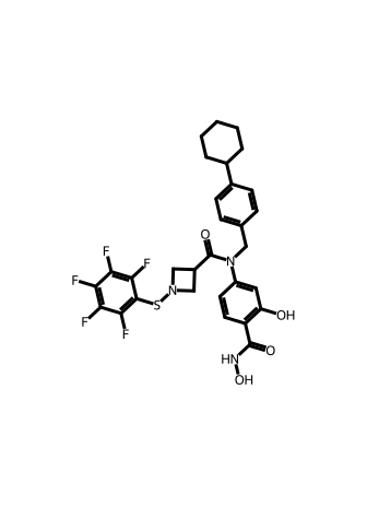 O=C(NO)c1ccc(N(Cc2ccc(C3CCCCC3)cc2)C(=O)C2CN(Sc3c(F)c(F)c(F)c(F)c3F)C2)cc1O